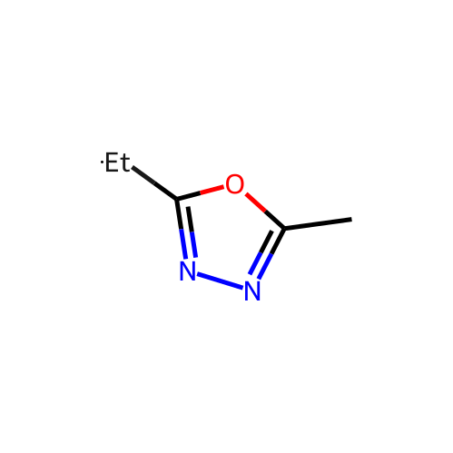 C[CH]c1nnc(C)o1